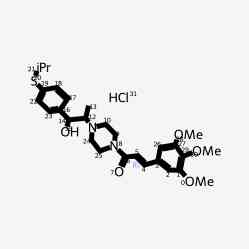 COc1cc(/C=C/C(=O)N2CCN(C(C)C(O)c3ccc(SC(C)C)cc3)CC2)cc(OC)c1OC.Cl